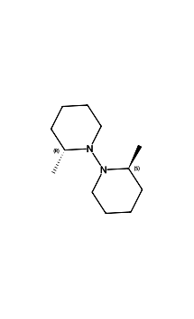 C[C@@H]1CCCCN1N1CCCC[C@@H]1C